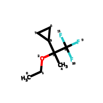 CCOC(C)(C1CC1)C(F)(F)F